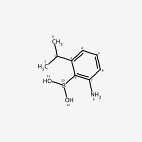 CC(C)c1cccc(N)c1B(O)O